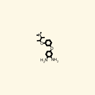 CC(Oc1cccc(Oc2ccc(N)c(N)c2)c1)C(C)N(C)C